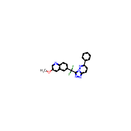 COc1cnc2ccc(C(F)(F)c3nnc4ccc(-c5ccccc5)nn34)cc2c1